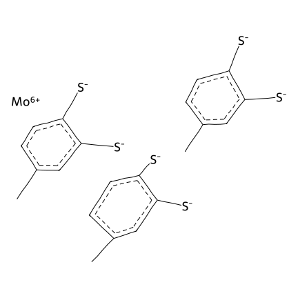 Cc1ccc([S-])c([S-])c1.Cc1ccc([S-])c([S-])c1.Cc1ccc([S-])c([S-])c1.[Mo+6]